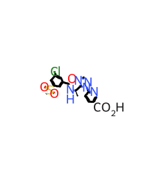 C[C@@H](NC(=O)c1cc(Cl)cc(S(C)(=O)=O)c1)c1ncnn1-c1ccc(C(=O)O)cn1